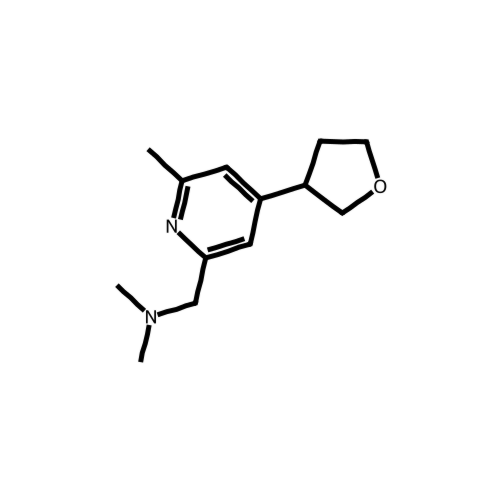 Cc1cc(C2CCOC2)cc(CN(C)C)n1